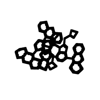 C[SiH](C)[Zr]([CH]1C(CC2CCC2)=Cc2c(-c3c4ccccc4cc4ccccc34)ccc(-c3c4ccccc4cc4ccccc34)c21)[CH]1C(CC2CCC2)=Cc2c(-c3c4ccccc4cc4ccccc34)ccc(-c3c4ccccc4cc4ccccc34)c21